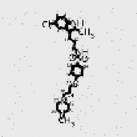 Cc1[nH]c2ccc(Cl)cc2c1CCCNS(=O)(=O)c1ccc(OCCCN2CCN(C)CC2)cc1